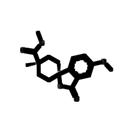 COc1ccc2c(c1)C(=O)O[C@]21CC[C@](C)(C(=O)OC)CC1